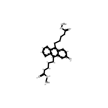 CCCCOC(=O)CCCCc1c2ccccc2c(CCCCC(=O)OCCCC)c2cc(CC)ccc12